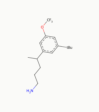 CC(CCCN)c1cc(OC(F)(F)F)cc(C(C)(C)C)c1